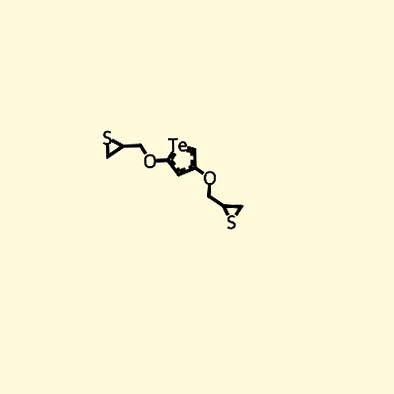 c1[te]c(OCC2CS2)cc1OCC1CS1